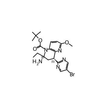 CC[C@]1(N)C[C@H](c2ncc(Br)cn2)c2nc(OC)ccc2N1C(=O)OC(C)(C)C